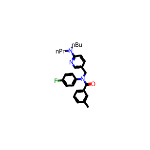 CCCCN(CCC)c1ccc(CN(C(=O)c2cccc(C)c2)c2ccc(F)cc2)cn1